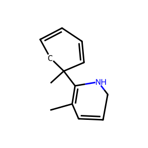 CC1=C(C2(C)C=CC=CC2)NCC=C1